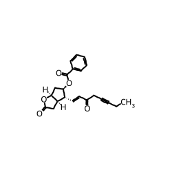 CCC#CCC(=O)/C=C/[C@@H]1[C@H]2CC(=O)O[C@H]2C[C@H]1OC(=O)c1ccccc1